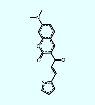 CN(C)c1ccc2cc(C(=O)/C=C/c3cccs3)c(=O)oc2c1